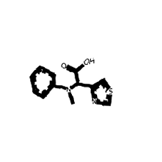 CN(c1ccccc1)C(C(=O)O)c1cscn1